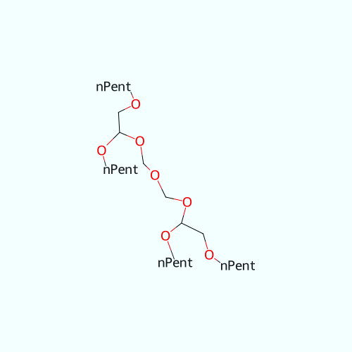 CCCCCOCC(OCCCCC)OCOCOC(COCCCCC)OCCCCC